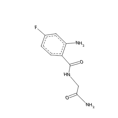 NC(=O)CNC(=O)c1ccc(F)cc1N